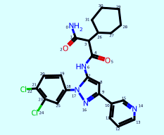 NC(=O)C(C(=O)Nc1cc(-c2cccnc2)nn1-c1ccc(Cl)c(Cl)c1)C1CCCCC1